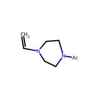 C=CN1CCN(C(C)=O)CC1